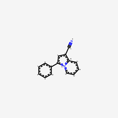 N#Cc1cc(-c2ccccc2)n2ccccc12